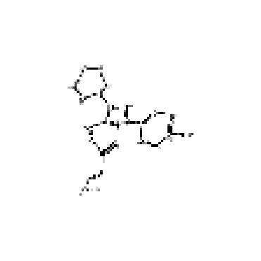 CCOC(=O)C=Cc1ccc2c(c1)c(-c1ccc(F)cc1)nn2C1CCCCO1